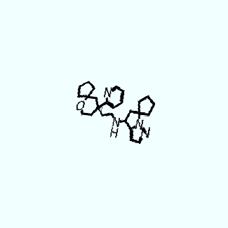 c1ccc([C@]2(CCNC3CC4(CCCC4)n4nccc43)CCOC3(CCCC3)C2)nc1